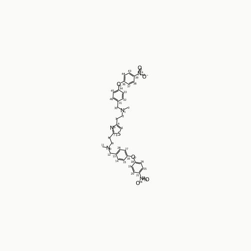 CN(CCc1csc(CCN(C)Cc2ccc(Oc3ccc([N+](=O)[O-])cc3)cc2)n1)Cc1ccc(Oc2ccc([N+](=O)[O-])cc2)cc1